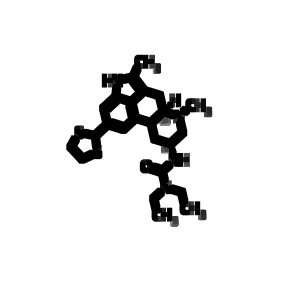 CCN(CC)C(=O)N[C@H]1CC2c3cc(C4SCCS4)cc4[nH]c(C)c(c34)C[C@H]2N(C)C1